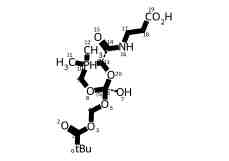 CC(C)(C)C(=O)OCO[C@@]1(O)OC[PH](C)(C)[C@H](C(=O)NCCC(=O)O)O1